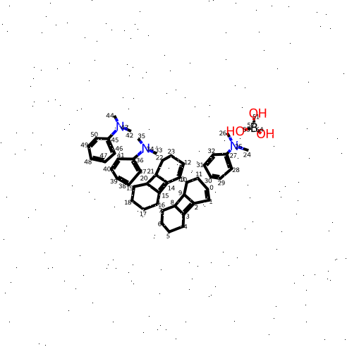 C1=CC2=C3CCCCC3C2CC1.C1=CC2=C3CCCCC3C2CC1.CN(C)c1ccccc1.CN(C)c1ccccc1.CN(C)c1ccccc1.OB(O)O